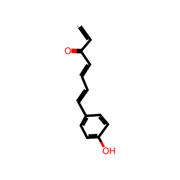 [CH]=CC(=O)/C=C/C=C/c1ccc(O)cc1